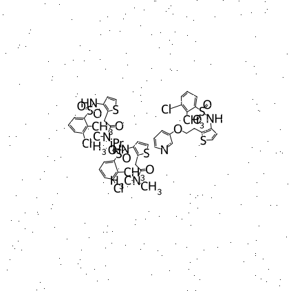 Cc1c(Cl)cccc1S(=O)(=O)Nc1ccsc1CC(=O)N(C)C.Cc1c(Cl)cccc1S(=O)(=O)Nc1ccsc1CC(=O)N(C)C(C)C.Cc1c(Cl)cccc1S(=O)(=O)Nc1ccsc1CCOc1cccnc1